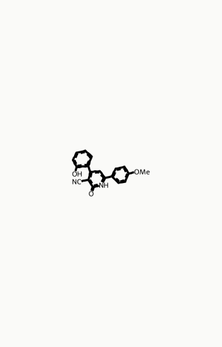 COc1ccc(-c2cc(-c3ccccc3O)c(C#N)c(=O)[nH]2)cc1